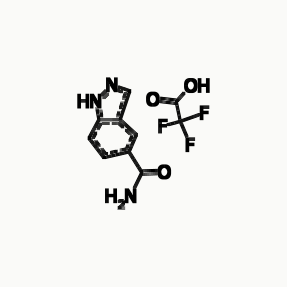 NC(=O)c1ccc2[nH]ncc2c1.O=C(O)C(F)(F)F